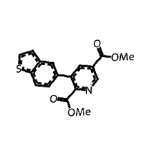 COC(=O)c1cnc(C(=O)OC)c(-c2ccc3sccc3c2)c1